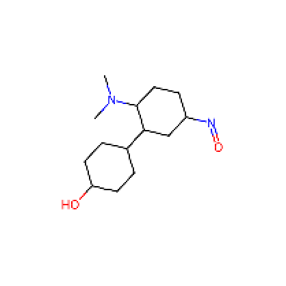 CN(C)C1CCC(N=O)CC1C1CCC(O)CC1